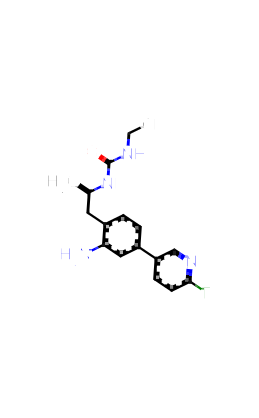 C=C(Cc1ccc(-c2ccc(F)nc2)cc1N)NC(=O)NCC